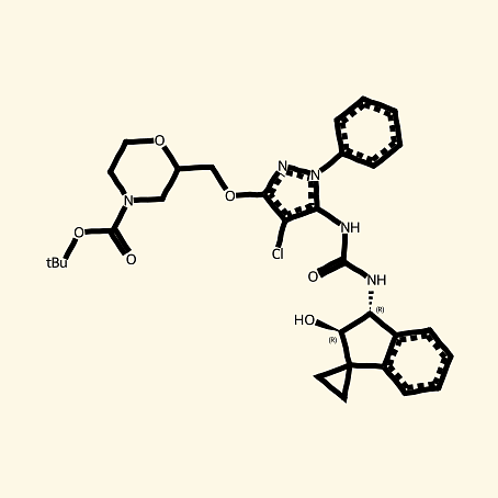 CC(C)(C)OC(=O)N1CCOC(COc2nn(-c3ccccc3)c(NC(=O)N[C@@H]3c4ccccc4C4(CC4)[C@H]3O)c2Cl)C1